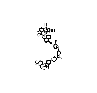 Cc1ccc(N[C@H]2CNCC2(F)F)cc1C(=O)N[C@H](C)c1ccc(C#C[C@@H]2CCN(CC3CCN(C(=O)C4CCN(c5ccc6c(c5)n(C)c(=O)n6C5CCC(=O)NC5=O)CC4)CC3)C[C@@H]2F)c2ccccc12